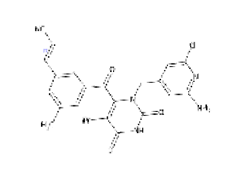 Cc1cc(/C=C/C#N)cc(C(=O)c2c(C(C)C)c(=O)[nH]c(=O)n2Cc2cc(N)nc(Cl)c2)c1